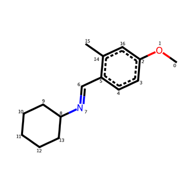 COc1ccc(C=NC2CCCCC2)c(C)c1